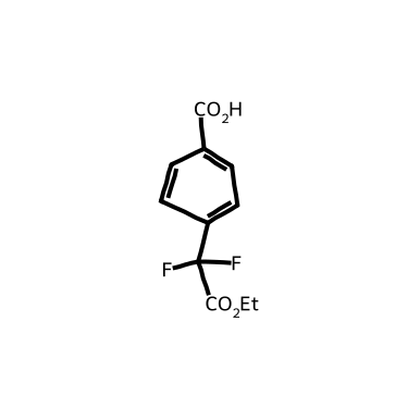 CCOC(=O)C(F)(F)c1ccc(C(=O)O)cc1